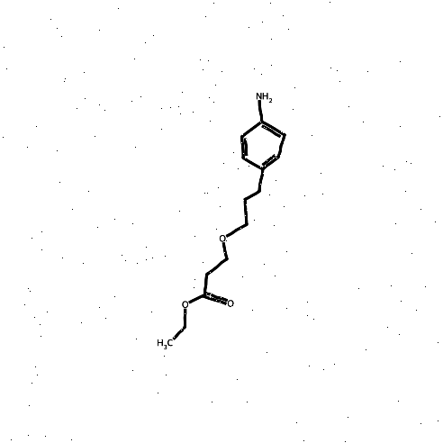 CCOC(=O)CCOCCCc1ccc(N)cc1